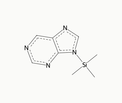 C[Si](C)(C)n1cnc2cncnc21